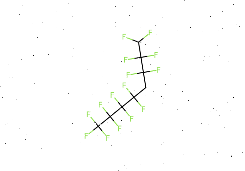 F[C](F)C(F)(F)C(F)(F)CC(F)(F)C(F)(F)C(F)(F)C(F)(F)F